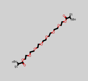 CCCCC(CC)C(=O)OCCOCCOCCOCCOCCOCCOCCOC(=O)C(CC)CCCC